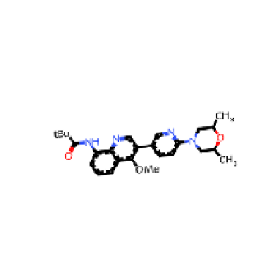 COc1c(-c2ccc(N3CC(C)OC(C)C3)nc2)cnc2c(NC(=O)C(C)(C)C)cccc12